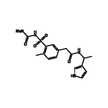 CNC(=O)NS(=O)(=O)c1cc(CC(=O)NC(C)c2cc[nH]c2)ccc1C